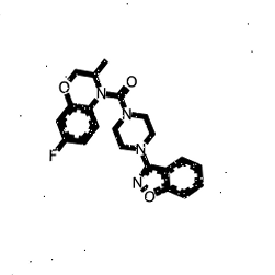 CC1COc2cc(F)ccc2N1C(=O)N1CCN(c2noc3ccccc23)CC1